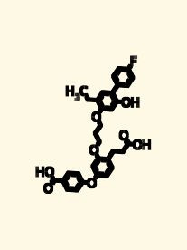 CCc1cc(-c2ccc(F)cc2)c(O)cc1OCCCOc1cc(Oc2ccc(C(=O)O)cc2)ccc1CCC(=O)O